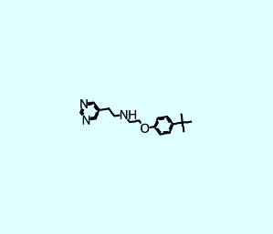 CC(C)(C)c1ccc(OCCNCCc2cncnc2)cc1